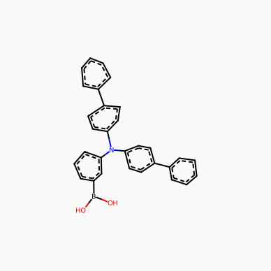 OB(O)c1cccc(N(c2ccc(-c3ccccc3)cc2)c2ccc(-c3ccccc3)cc2)c1